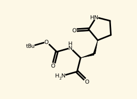 CC(C)(C)OC(=O)N[C@@H](C[C@@H]1CCNC1=O)C(N)=O